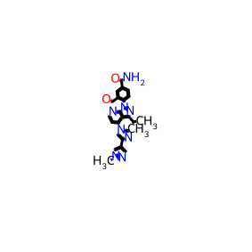 CC(C)c1nn(-c2ccc(C(N)=O)cc2C=O)c2nccc(-n3cnc(-c4cnn(C)c4)c3)c12